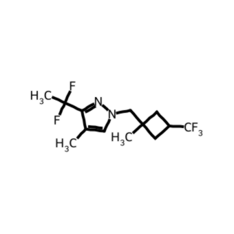 Cc1cn(CC2(C)CC(C(F)(F)F)C2)nc1C(C)(F)F